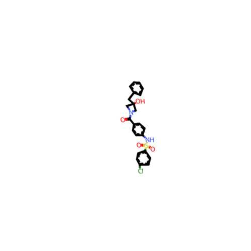 O=C(c1ccc(NS(=O)(=O)c2ccc(Cl)cc2)cc1)N1CC(O)(Cc2ccccc2)C1